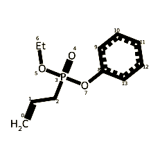 C=CCP(=O)(OCC)Oc1ccccc1